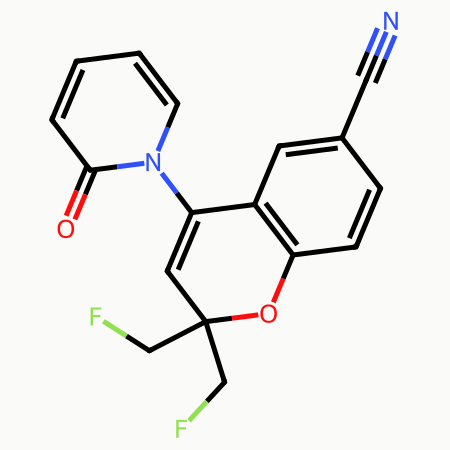 N#Cc1ccc2c(c1)C(n1ccccc1=O)=CC(CF)(CF)O2